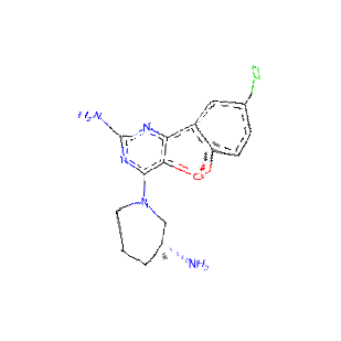 Nc1nc(N2CCC[C@@H](N)C2)c2oc3ccc(Cl)cc3c2n1